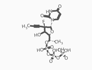 CC#C[C@@]1(F)C(O)[C@@H]([C@H](C)OP(=O)(O)OP(=O)(O)OP(=O)(O)O)O[C@H]1n1ccc(=O)[nH]c1=O